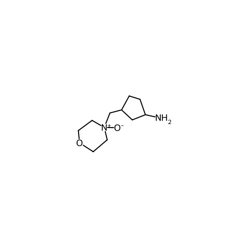 NC1CCC(C[N+]2([O-])CCOCC2)C1